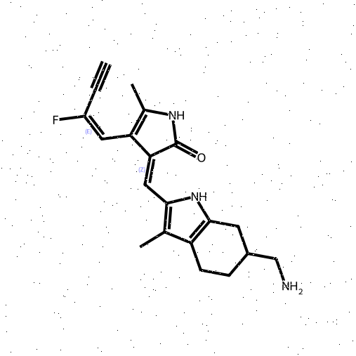 C#C/C(F)=C\C1=C(C)NC(=O)/C1=C\c1[nH]c2c(c1C)CCC(CN)C2